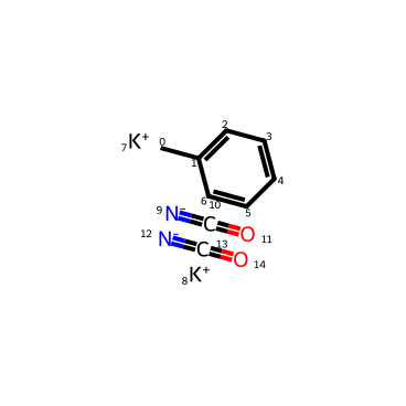 Cc1ccccc1.[K+].[K+].[N-]=C=O.[N-]=C=O